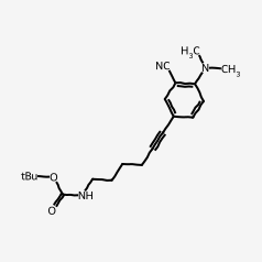 CN(C)c1ccc(C#CCCCCNC(=O)OC(C)(C)C)cc1C#N